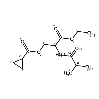 CCOC(=O)C(COC(=O)C1CC1)NC(=O)C(C)C